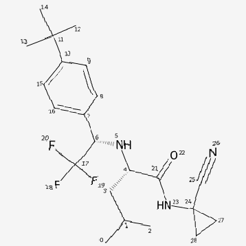 CC(C)C[C@H](N[C@@H](c1ccc(C(C)(C)C)cc1)C(F)(F)F)C(=O)NC1(C#N)CC1